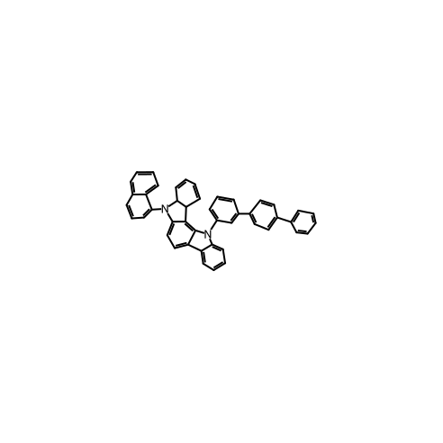 C1=CC2c3c(ccc4c5ccccc5n(-c5cccc(-c6ccc(-c7ccccc7)cc6)c5)c34)N(c3cccc4ccccc34)C2C=C1